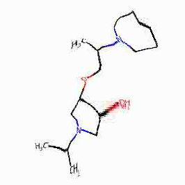 CC(C)N1CC(O)C(OCC(C)N2CCCCC2)C1